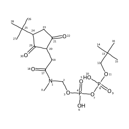 CN(COP(=O)(O)OP(=O)(O)OCC(C)(C)C)C(=O)CC1C(=O)CC(C(C)(C)C)C1=O